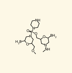 BC1CN(NC)CC(COP(=O)(N2CCNCC2)N2CC(B)OC(COC)C2)O1